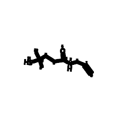 C#CCNC(=O)CCC(C)(C)S